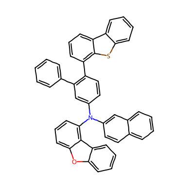 c1ccc(-c2cc(N(c3ccc4ccccc4c3)c3cccc4oc5ccccc5c34)ccc2-c2cccc3c2sc2ccccc23)cc1